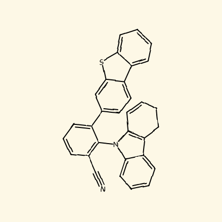 N#Cc1cccc(-c2ccc3c(c2)sc2ccccc23)c1-n1c2c(c3ccccc31)CCC=C2